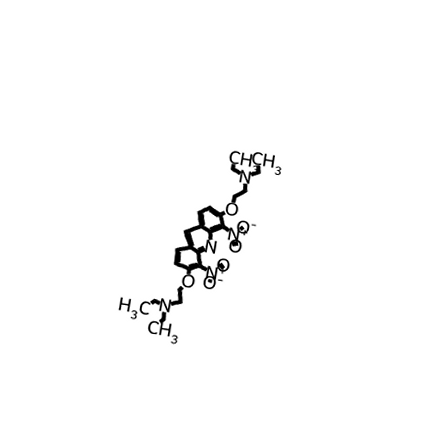 CCN(CC)CCOc1ccc2cc3ccc(OCCN(CC)CC)c([N+](=O)[O-])c3nc2c1[N+](=O)[O-]